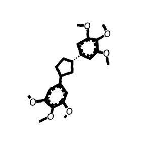 COc1cc(C2CC[C@H](c3cc(OC)c(OC)c(OC)c3)C2)cc(OC)c1OC